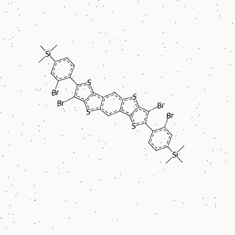 C[Si](C)(C)c1ccc(-c2sc3c(sc4cc5c(cc43)sc3c(Br)c(-c4ccc([Si](C)(C)C)cc4Br)sc35)c2Br)c(Br)c1